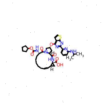 CC(C)Nc1cccc(-c2nc(O[C@@H]3C[C@H]4C(=O)N[C@]5(C(=O)O)C[C@H]5/C=C\CCCCC[C@H](NC(=O)OC5CCCC5)C(=O)N4C3)c3ccsc3n2)n1